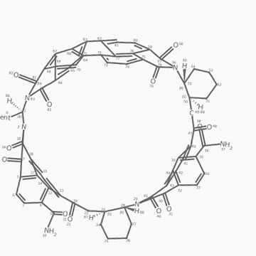 CCCCC[C@@H]1N2C(=O)c3ccc(C(N)=O)c4c(ccc(c34)C2=O)C(=O)C[C@@H]2CCCC[C@H]2N2C(=O)c3ccc(C(N)=O)c4c(ccc(c34)C2=O)C(=O)C[C@@H]2CCCC[C@H]2N2C(=O)c3ccc4c5ccc6c7c(ccc(c8ccc(c3c48)C2=O)c75)C(=O)N1C6=O